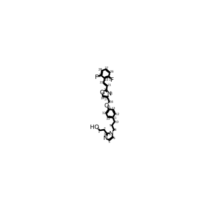 OCCc1nccn1CCCc1ccc(OCc2coc(/C=C/c3c(F)cccc3F)n2)cc1